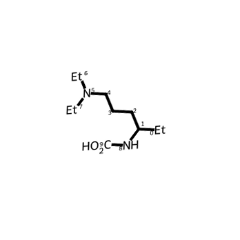 CCC(CCCN(CC)CC)NC(=O)O